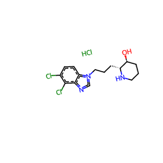 Cl.O[C@H]1CCCN[C@@H]1CCCn1cnc2c(Cl)c(Cl)ccc21